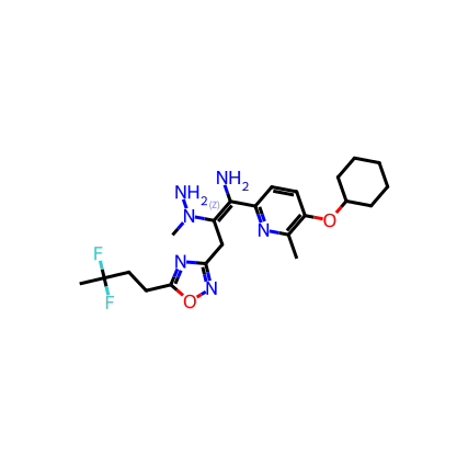 Cc1nc(/C(N)=C(\Cc2noc(CCC(C)(F)F)n2)N(C)N)ccc1OC1CCCCC1